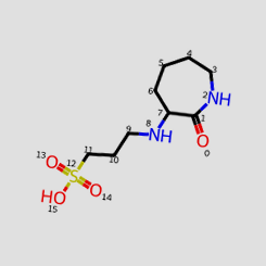 O=C1NCCCCC1NCCCS(=O)(=O)O